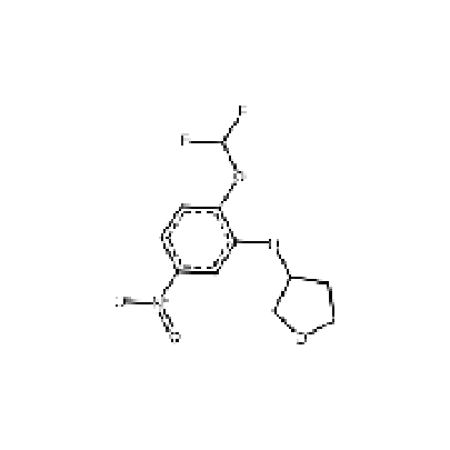 O=[N+]([O-])c1ccc(OC(F)F)c(OC2CCOC2)c1